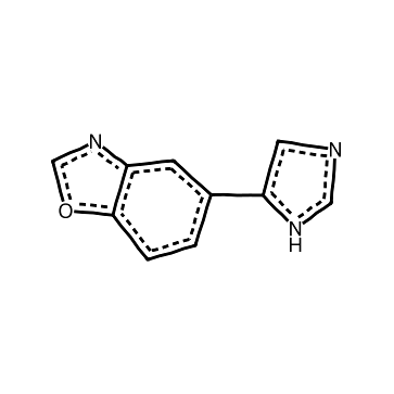 c1ncc(-c2ccc3ocnc3c2)[nH]1